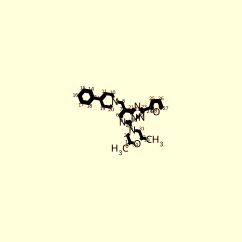 CC1CN(c2ncc(CN3CC=C(c4ccccc4)CC3)c3nc(-c4ccco4)nn23)CC(C)O1